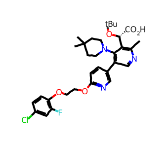 Cc1ncc(-c2ccc(OCCOc3ccc(Cl)cc3F)nc2)c(N2CCC(C)(C)CC2)c1[C@H](OC(C)(C)C)C(=O)O